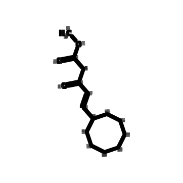 COC(=O)CC(=O)C=CC1CCCCCCC1